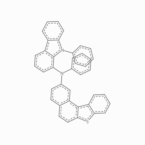 c1ccc(N(c2ccc3ccc4sc5ccccc5c4c3c2)c2cccc3c4ccccc4n(-c4ccccc4)c23)cc1